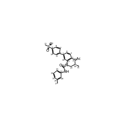 CC(=O)N1c2ccc(-c3ccc(S(C)(=O)=O)cc3)cc2N(C(=O)Nc2cccc(C)c2)C[C@@H]1C